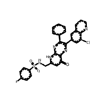 O=c1cc(CNS(=O)(=O)c2ccc(F)cc2)[nH]c2nc(-c3ccccc3)c(-c3cc(Cl)c4ncccc4c3)nc12